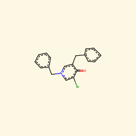 O=c1c(Br)cn(Cc2ccccc2)cc1Cc1ccccc1